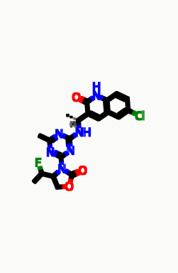 Cc1nc(N[C@H](C)c2cc3cc(Cl)ccc3[nH]c2=O)nc(N2C(=O)OCC2C(C)F)n1